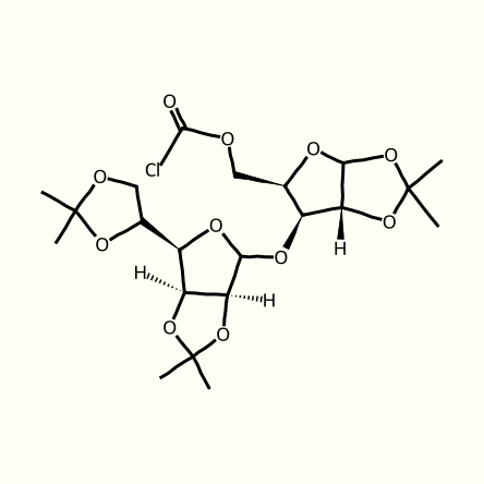 CC1(C)OCC([C@H]2OC(O[C@H]3[C@@H](COC(=O)Cl)OC4OC(C)(C)O[C@@H]43)[C@H]3OC(C)(C)O[C@@H]23)O1